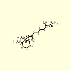 COC(=O)CCCCC(=O)OC1(C)CCCCC1C